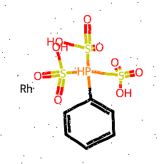 O=S(=O)(O)[PH](c1ccccc1)(S(=O)(=O)O)S(=O)(=O)O.[Rh]